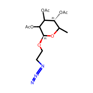 CC(=O)OC1C(OC(C)=O)[C@H](OC(C)=O)C(C)O[C@H]1OCCN=[N+]=[N-]